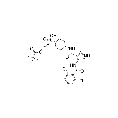 CC(C)(C)C(=O)OCOP(=O)(O)N1CCC(NC(=O)c2n[nH]cc2NC(=O)c2c(Cl)cccc2Cl)CC1